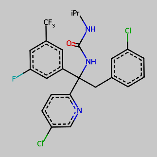 CC(C)NC(=O)NC(Cc1cccc(Cl)c1)(c1cc(F)cc(C(F)(F)F)c1)c1ccc(Cl)cn1